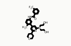 Cc1ccc(NC(=O)c2cccc(C(F)(F)F)c2)cc1-c1cc(C2CCOCC2)nc(N(CCO)CCO)c1